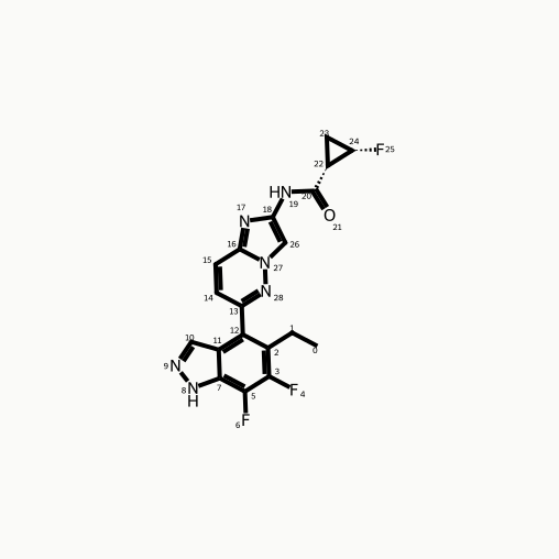 CCc1c(F)c(F)c2[nH]ncc2c1-c1ccc2nc(NC(=O)[C@@H]3C[C@@H]3F)cn2n1